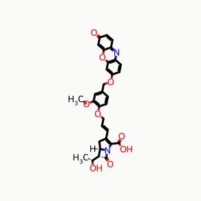 COc1cc(COc2ccc3nc4ccc(=O)cc-4oc3c2)ccc1OC/C=C/C1=C(C(=O)O)N2C(=O)[C@H]([C@@H](C)O)[C@H]2C1